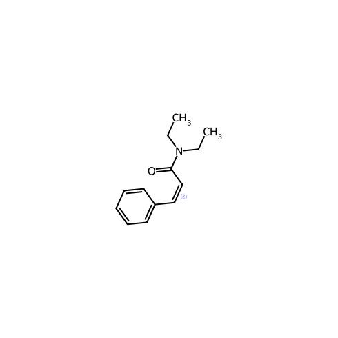 CCN(CC)C(=O)/C=C\c1ccccc1